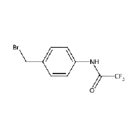 O=C(Nc1ccc(CBr)cc1)C(F)(F)F